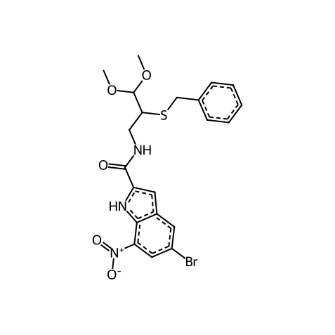 COC(OC)C(CNC(=O)c1cc2cc(Br)cc([N+](=O)[O-])c2[nH]1)SCc1ccccc1